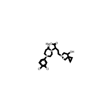 COC(=O)C(CCN1CCC2(CC2)C(O)C1)N1CCN(c2ccc(Cl)c(Cl)c2)CCC1=O